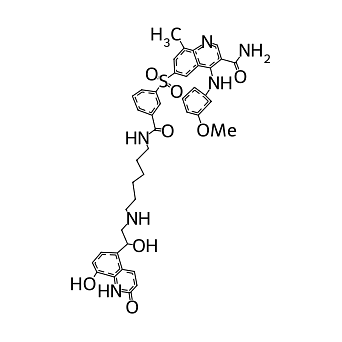 COc1cccc(Nc2c(C(N)=O)cnc3c(C)cc(S(=O)(=O)c4cccc(C(=O)NCCCCCCNCC(O)c5ccc(O)c6[nH]c(=O)ccc56)c4)cc23)c1